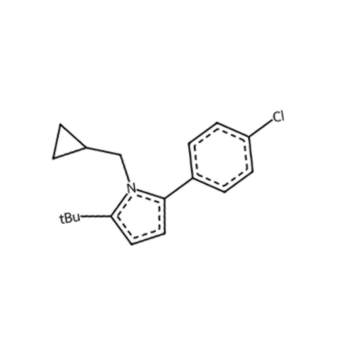 CC(C)(C)c1ccc(-c2ccc(Cl)cc2)n1CC1CC1